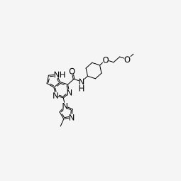 COCCOC1CCC(NC(=O)c2nc(-n3cnc(C)c3)nc3cc[nH]c23)CC1